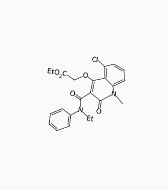 CCOC(=O)COc1c(C(=O)N(CC)c2ccccc2)c(=O)n(C)c2cccc(Cl)c12